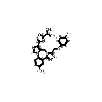 Cc1ccc2c(c1)-c1nnc(COc3ccc(F)cc3)n1Cc1c(-c3noc(C(C)C)n3)ncn1-2